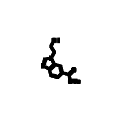 COC(=O)c1ccc2ncn(CCO)c2c1